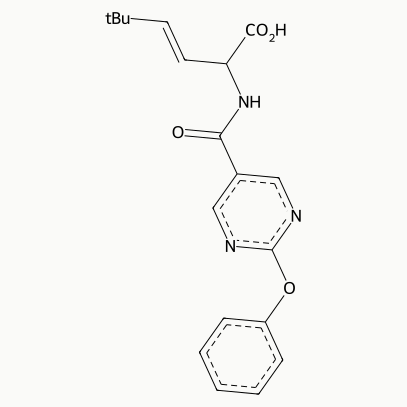 CC(C)(C)/C=C/C(NC(=O)c1cnc(Oc2ccccc2)nc1)C(=O)O